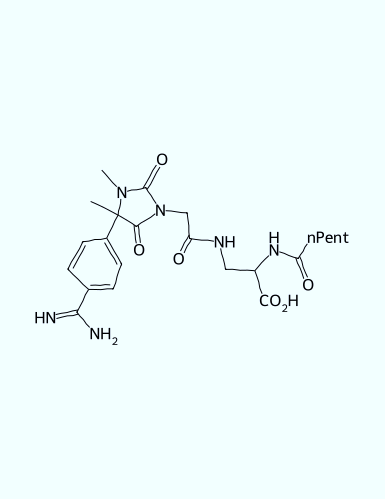 CCCCCC(=O)NC(CNC(=O)CN1C(=O)N(C)C(C)(c2ccc(C(=N)N)cc2)C1=O)C(=O)O